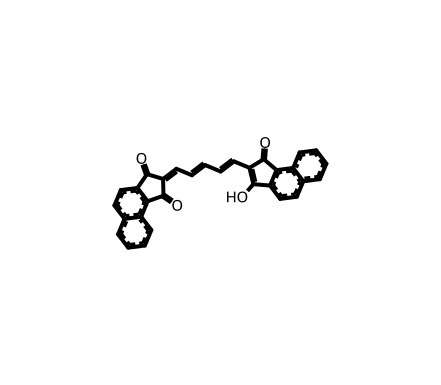 O=C1C(=CC=CC=CC2=C(O)c3ccc4ccccc4c3C2=O)C(=O)c2c1ccc1ccccc21